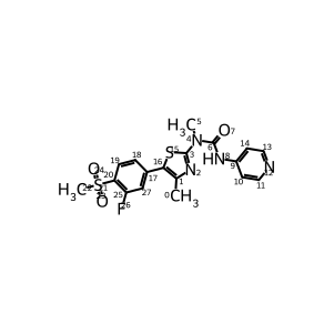 Cc1nc(N(C)C(=O)Nc2ccncc2)sc1-c1ccc(S(C)(=O)=O)c(F)c1